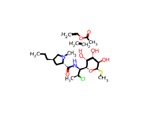 C=C.C=COC(C)=O.CCC[C@@H]1C[C@@H](C(=O)N[C@@H]([C@H]2O[C@H](SC)[C@H](O)[C@@H](O)[C@H]2O)[C@H](C)Cl)N(C)C1